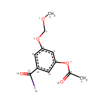 COCOc1cc(OC(C)=O)cc(C(=O)I)c1